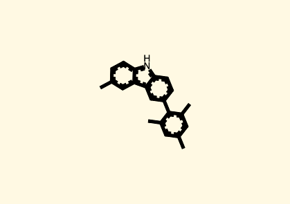 Cc1cc(C)c(-c2ccc3[nH]c4ccc(C)cc4c3c2)c(C)c1